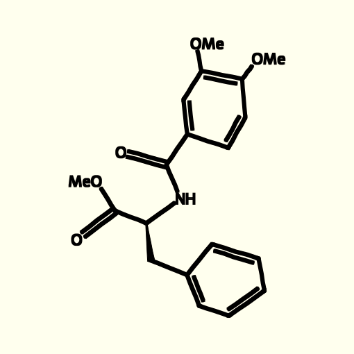 COC(=O)[C@H](Cc1ccccc1)NC(=O)c1ccc(OC)c(OC)c1